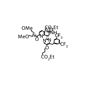 CCOC(=O)CCCOc1cnc([C@H]2C[C@@](N)(CC)N(C(=O)OCC)c3ccc(C(=O)N(CCOC)CCOC)nc32)nc1Cc1cc(C(F)(F)F)cc(C(F)(F)F)c1